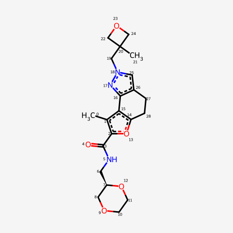 Cc1c(C(=O)NC[C@@H]2COCCO2)oc2c1-c1nn(CC3(C)COC3)cc1CC2